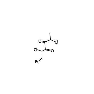 CC(Cl)C(=O)C(=O)C(Cl)CBr